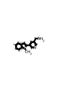 Cn1c(-c2cncc(CN)c2)cc2ccccc21